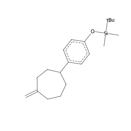 C=C1CCCC(c2ccc(O[Si](C)(C)C(C)(C)C)cc2)CC1